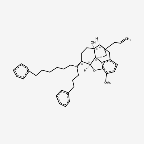 C=CCN1CC[C@]23c4c5ccc(OC(C)=O)c4O[C@H]2[C@@H](N(CCCCCCc2ccccc2)CCCc2ccccc2)CC[C@@]3(O)[C@H]1C5